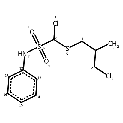 CC(CCl)CSC(Cl)S(=O)(=O)Nc1ccccc1